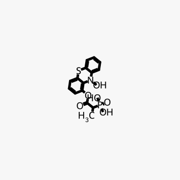 CC(C(=O)Oc1cccc2c1N(O)c1ccccc1S2)P(=O)(O)O